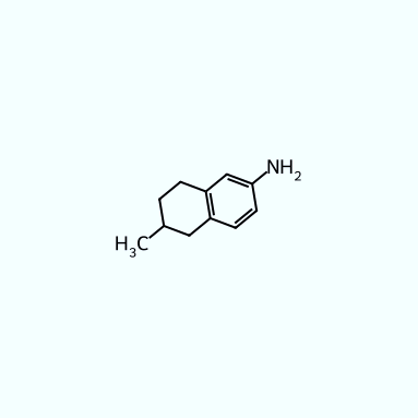 CC1CCc2cc(N)ccc2C1